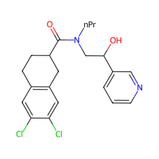 CCCN(CC(O)c1cccnc1)C(=O)C1CCc2cc(Cl)c(Cl)cc2C1